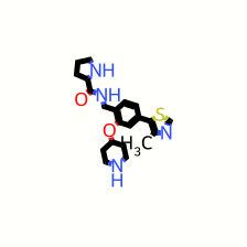 Cc1ncsc1-c1ccc(CNC(=O)C2CCCN2)c(OC2CCNCC2)c1